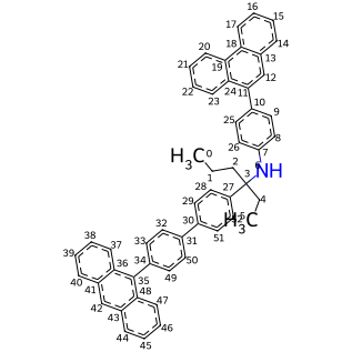 CCCC(CC)(Nc1ccc(-c2cc3ccccc3c3ccccc23)cc1)c1ccc(-c2ccc(-c3c4ccccc4cc4ccccc34)cc2)cc1